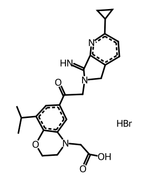 Br.CC(C)c1cc(C(=O)CN2Cc3ccc(C4CC4)nc3C2=N)cc2c1OCCN2CC(=O)O